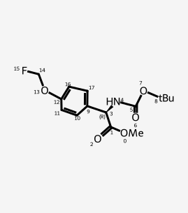 COC(=O)[C@H](NC(=O)OC(C)(C)C)c1ccc(OCF)cc1